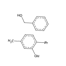 Cc1ccc(C(C)C)c(O)c1.OCc1ccccc1